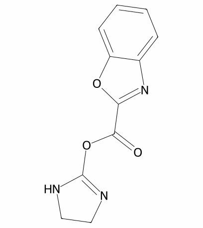 O=C(OC1=NCCN1)c1nc2ccccc2o1